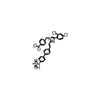 COC(=O)c1ccc(Cn2cc(-c3ccc(Cl)cc3Cl)nc2C=Cc2ccc(-c3ccc(NS(C)(=O)=O)cc3)cc2)cc1